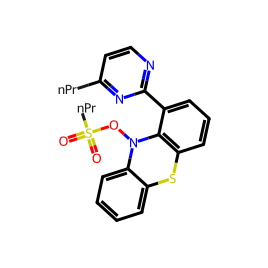 CCCc1ccnc(-c2cccc3c2N(OS(=O)(=O)CCC)c2ccccc2S3)n1